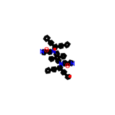 c1ccc(-c2c3ccc(N(c4cc(-c5ccc(C6CCCCC6)cc5)cc(-c5ccc(C6CCCCC6)cc5)c4)c4ccc5c(c4)oc4cnccc45)cc3c(-c3ccccc3)c3ccc(N(c4cc(-c5ccc(C6CCCCC6)cc5)cc(-c5ccc(C6CCCCC6)cc5)c4)c4ccc5c(c4)oc4cnccc45)cc23)cc1